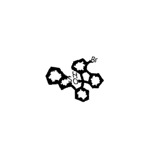 OC1(c2ccccc2-c2cc3ccccc3s2)c2ccccc2-c2c(Br)cccc21